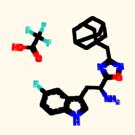 N[C@@H](Cc1c[nH]c2ccc(F)cc12)c1nc(CC23CC4CC(CC(C4)C2)C3)no1.O=C(O)C(F)(F)F